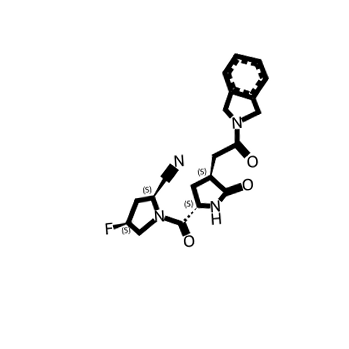 N#C[C@@H]1C[C@H](F)CN1C(=O)[C@@H]1C[C@@H](CC(=O)N2Cc3ccccc3C2)C(=O)N1